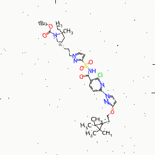 CC(C)(C)OC(=O)N1C[C@@H](CCCn2ccc(S(=O)(=O)NC(=O)c3ccc(-n4ccc(OCCC5C(C)(C)C5(C)C)n4)nc3Cl)n2)CC1(C)C